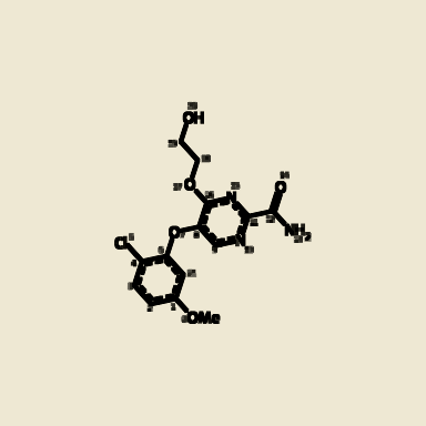 COc1ccc(Cl)c(Oc2[c]nc(C(N)=O)nc2OCCO)c1